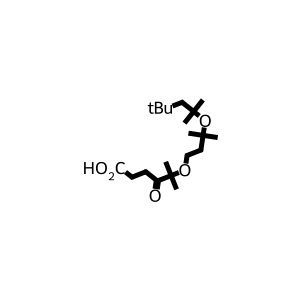 CC(C)(C)CC(C)(C)OC(C)(C)CCOC(C)(C)C(=O)CCC(=O)O